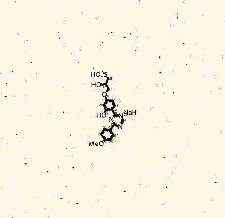 COc1ccc(-c2ncnc(-c3ccc(OCC(O)CS(=O)(=O)O)cc3O)n2)cc1.[NaH]